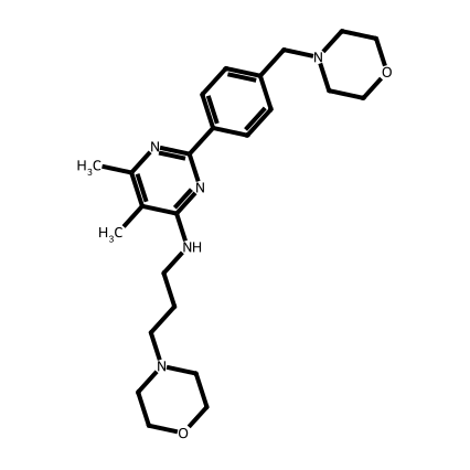 Cc1nc(-c2ccc(CN3CCOCC3)cc2)nc(NCCCN2CCOCC2)c1C